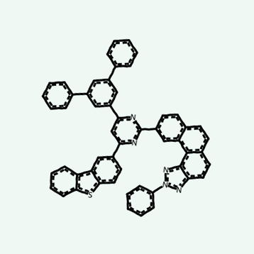 c1ccc(-c2cc(-c3ccccc3)cc(-c3cc(-c4ccc5sc6ccccc6c5c4)nc(-c4ccc5ccc6ccc7nn(-c8ccccc8)nc7c6c5c4)n3)c2)cc1